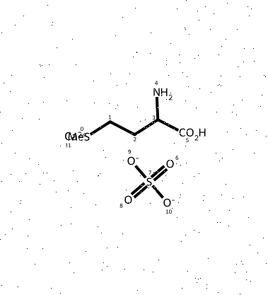 CSCCC(N)C(=O)O.O=S(=O)([O-])[O-].[Ca+2]